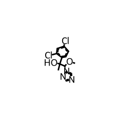 COC(n1cncn1)C(C)(O)c1ccc(Cl)cc1Cl